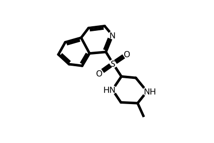 CC1CNC(S(=O)(=O)c2nccc3ccccc23)CN1